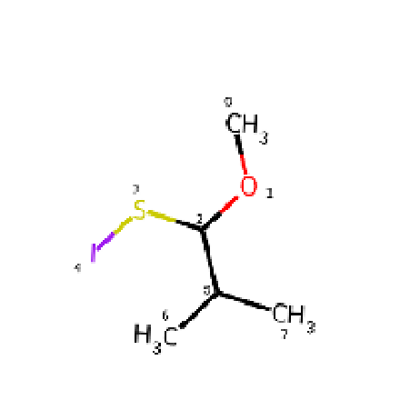 COC(SI)C(C)C